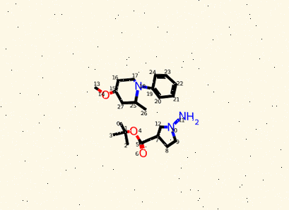 CC(C)(C)OC(=O)C1CCN(N)C1.COC1CCN(c2ccccc2)C(C)C1